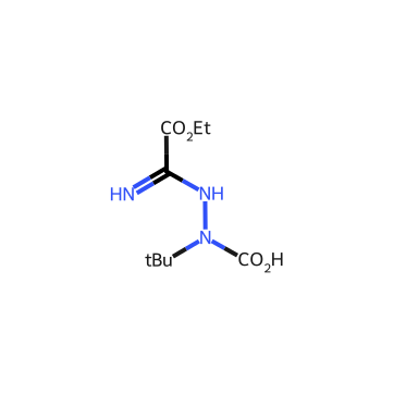 CCOC(=O)C(=N)NN(C(=O)O)C(C)(C)C